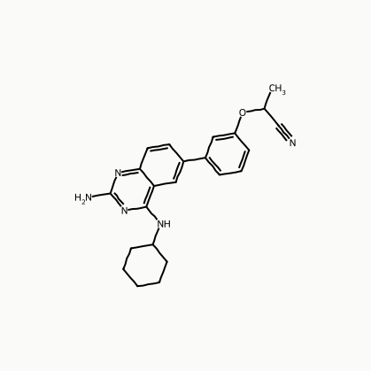 CC(C#N)Oc1cccc(-c2ccc3nc(N)nc(NC4CCCCC4)c3c2)c1